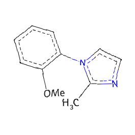 COc1ccccc1-n1ccnc1C